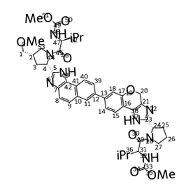 COC[C@H]1C[C@@H](c2nc3ccc4cc(-c5ccc6c(c5)OCc5nc([C@@H]7CCCN7C(=O)C(NC(=O)OC)C(C)C)[nH]c5-6)ccc4c3[nH]2)N(C(=O)[C@@H](NC(=O)OC)C(C)C)C1